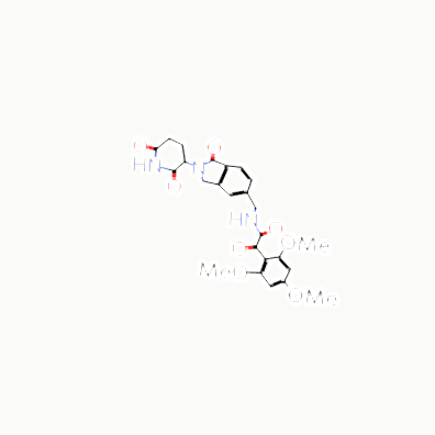 COc1cc(OC)c(C(=O)C(=O)NCc2ccc3c(c2)CN(C2CCC(=O)NC2=O)C3=O)c(OC)c1